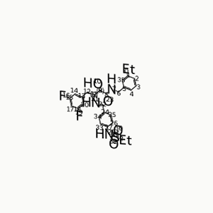 CCc1cccc(CNC[C@@H](O)[C@H](Cc2cc(F)cc(F)c2)NC(=O)c2ccc(NS(=O)(=O)CC)cc2)c1